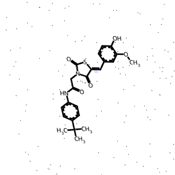 COc1cc(/C=C2\SC(=O)N(CC(=O)Nc3ccc(C(C)(C)C)cc3)C2=O)ccc1O